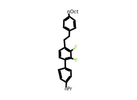 CCCCCCCCc1ccc(CCc2ccc(-c3ccc(CCC)cc3)c(F)c2F)cc1